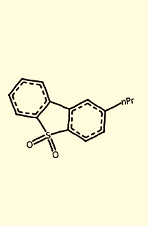 CCCc1ccc2c(c1)-c1ccccc1S2(=O)=O